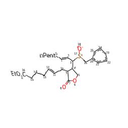 CCCCCC=CC(C1COC(=O)C1CC=CCCCC(=O)OCC)[S+]([O-])Cc1ccccc1